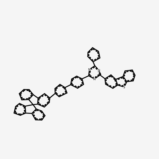 c1ccc(-c2nc(-c3ccc(-c4ccc(-c5ccc6c(c5)-c5ccccc5C65c6ccccc6-c6ccccc65)cc4)cc3)nc(-c3ccc4sc5ccccc5c4c3)n2)cc1